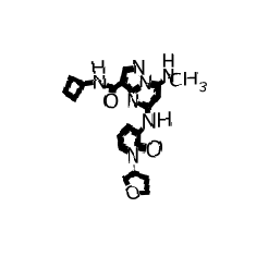 CNc1cc(Nc2cccn([C@@H]3CCOC3)c2=O)nc2c(C(=O)NC3CCC3)cnn12